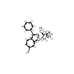 C=CC.CN.Cl.Fc1ccc2c(-c3ccccc3)noc2c1